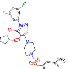 Bc1cccc(CS(=O)(=O)N2CCN(c3cnn(-c4cc(F)cc(F)c4)c(=O)c3OC3CCCC3)CC2)c1